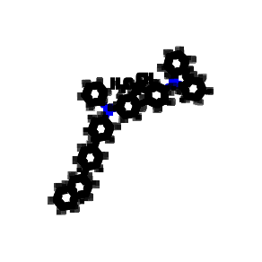 CC1(C)c2cc(N(c3ccccc3)c3ccc(-c4ccc(-c5ccc6ccccc6c5)cc4)cc3)ccc2-c2ccc(-n3c4ccccc4c4ccccc43)cc21